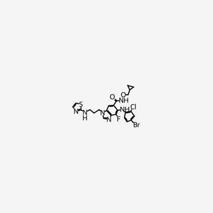 O=C(NOCC1CC1)c1cc2c(ncn2CCCNc2nccs2)c(F)c1Nc1ccc(Br)cc1Cl